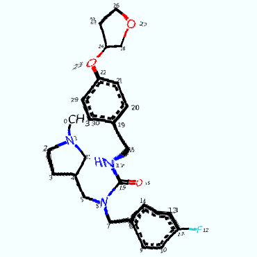 CN1CCC(CN(Cc2ccc(F)cc2)C(=O)NCc2ccc(OC3CCOC3)cc2)C1